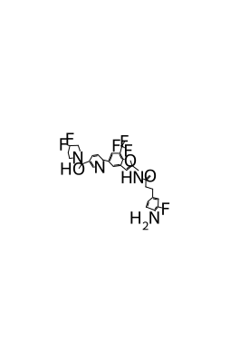 Nc1ccc(CCC(=O)NCc2cc3cc(-c4ccc(C(O)N5CCC(F)(F)CC5)cn4)cc(C(F)(F)F)c3o2)cc1F